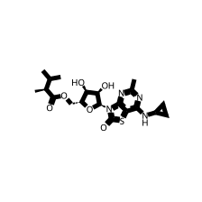 Cc1nc(NC2CC2)c2sc(=O)n([C@@H]3O[C@H](COC(=O)[C@@H](C)C(C)C)[C@@H](O)[C@H]3O)c2n1